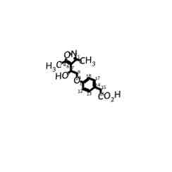 Cc1noc(C)c1C(O)COc1ccc(CC(=O)O)cc1